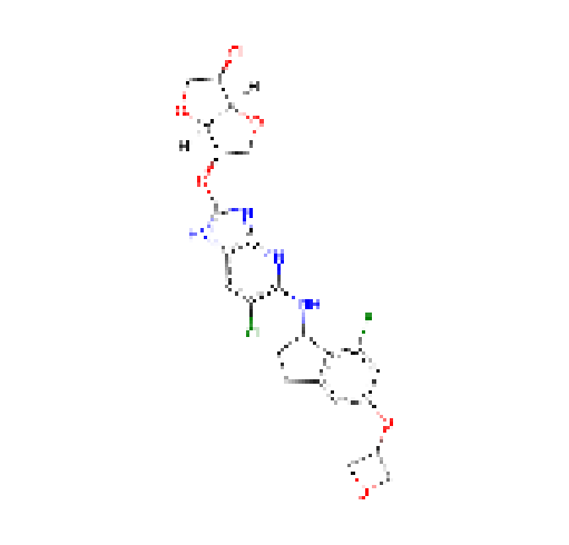 O[C@@H]1CO[C@H]2[C@@H]1OC[C@H]2Oc1nc2nc(NC3CCc4cc(OC5COC5)cc(F)c43)c(Cl)cc2[nH]1